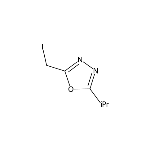 CC(C)c1nnc(CI)o1